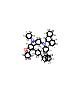 c1ccc(-c2ccc(-c3c4c(cc5c3c3cc(N(c6ccc(-c7ccccc7)cc6)c6cc7ccccc7c7ccccc67)ccc3n5-c3ccccc3)oc3ccccc34)cc2)cc1